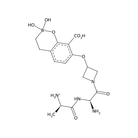 C[C@@H]([NH3+])C(=O)N[C@H](N)C(=O)N1CC(Oc2ccc3c(c2C(=O)O)O[B-](O)(O)CC3)C1